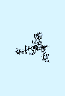 CC(C)(C)OC(=O)N[C@@H](CCCCNC(=O)OCc1ccccc1)C(=O)O[C@H]1[C@@H](O)[C@H](n2cnc3c(N)ncnc32)O[C@@H]1COP(=O)(O)O[C@H]1C[C@H](n2ccc(N)nc2=O)O[C@@H]1COP(=O)(O)O